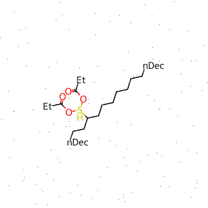 CCCCCCCCCCCCCCCCCC(CCCCCCCCCCCC)[SH](OC(=O)CC)OC(=O)CC